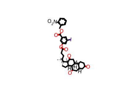 C[C@H](CCC(=O)Oc1cc(I)cc(C(=O)OCc2ccccc2[N+](=O)[O-])c1)[C@H]1CC[C@H]2[C@@H]3C(=O)C[C@@H]4CC(=O)CC[C@]4(C)[C@H]3CC(=O)[C@]12C